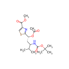 COC(=O)c1csc([C@@H](CC(NC(=O)OC(C)(C)C)C(C)C)OC(C)=O)n1